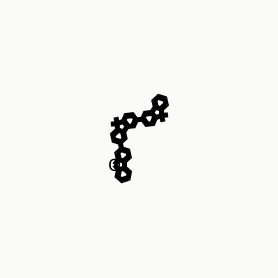 CC1(C)c2ccccc2-c2cc(-c3ccc4c(c3)-c3cc(-c5ccc6c(c5)oc5ccccc56)ccc3C4(C)C)ccc21